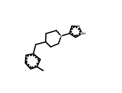 Cc1cccc(CC2CCN(c3cn[nH]c3)CC2)c1